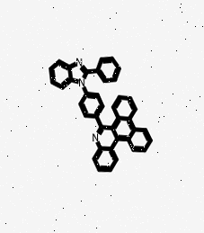 c1ccc(-c2nc3ccccc3n2-c2ccc(-c3nc4ccccc4c4c5ccccc5c5ccccc5c34)cc2)cc1